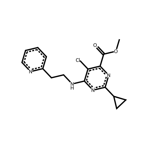 COC(=O)c1nc(C2CC2)nc(NCCc2ccccn2)c1Cl